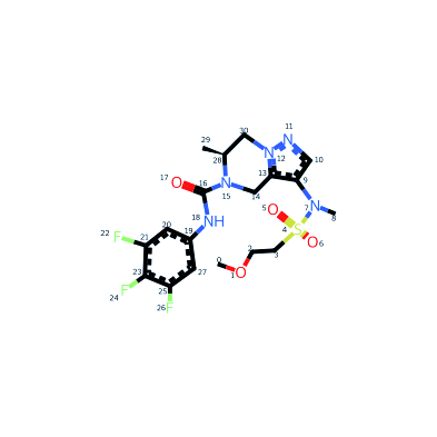 COCCS(=O)(=O)N(C)c1cnn2c1CN(C(=O)Nc1cc(F)c(F)c(F)c1)[C@@H](C)C2